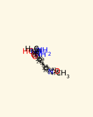 COC1CCN(Cc2ccc(C#Cc3ccc(C(=O)N[C@H](C(=O)NO)[C@@H](C)N)cc3)cc2)CC1